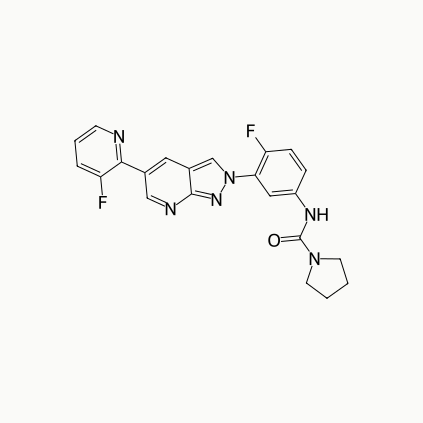 O=C(Nc1ccc(F)c(-n2cc3cc(-c4ncccc4F)cnc3n2)c1)N1CCCC1